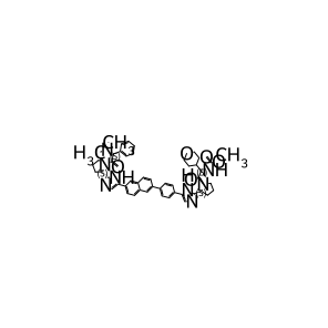 COC(=O)N[C@H](C(=O)N1CCC[C@H]1c1ncc(-c2ccc(-c3ccc4cc(-c5cnc([C@@H]6CCCN6C(=O)[C@H](c6ccccc6)N(C)C)[nH]5)ccc4c3)cc2)[nH]1)C1CCOCC1